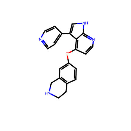 c1cc(-c2c[nH]c3nccc(Oc4ccc5c(c4)CNCC5)c23)ccn1